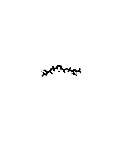 Cc1cc(C(C)CC(C)(C)c2ccc(C(C)CC(C)(C)c3cc(C(C)C)n(C)n3)o2)co1